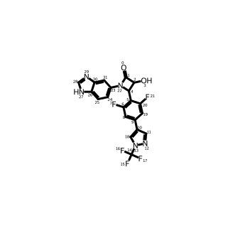 O=C1C(O)C(c2c(F)cc(-c3cnn(C(F)(F)F)c3)cc2F)N1c1ccc2[nH]cnc2c1